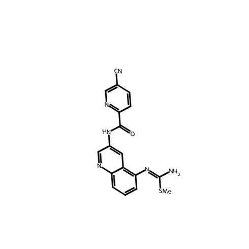 CS/C(N)=N\c1cccc2ncc(NC(=O)c3ccc(C#N)cn3)cc12